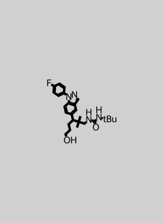 CC(C)(C)NC(=O)NCC(C)(C)C(CCCO)c1ccc2c(cnn2-c2ccc(F)cc2)c1